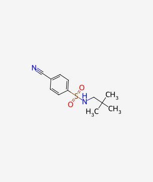 CC(C)(C)CNS(=O)(=O)c1ccc(C#N)cc1